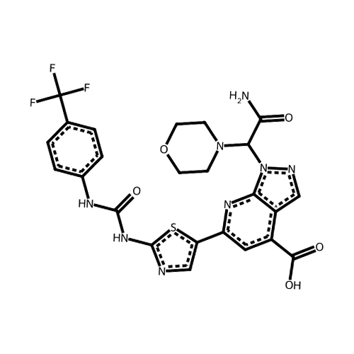 NC(=O)C(N1CCOCC1)n1ncc2c(C(=O)O)cc(-c3cnc(NC(=O)Nc4ccc(C(F)(F)F)cc4)s3)nc21